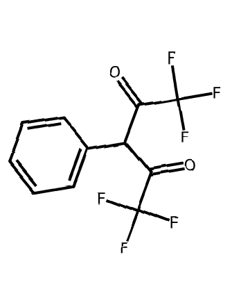 O=C(C(C(=O)C(F)(F)F)c1ccccc1)C(F)(F)F